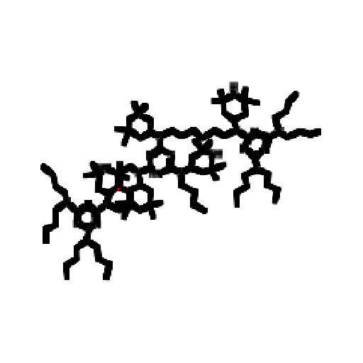 CCCCN(CCCC)c1nc(N(CCCC)CCCC)nc(N(CCCCCCN(C2=NC(N(CCCCCCN(c3nc(N(CCCC)CCCC)nc(N(CCCC)CCCC)n3)C3CC(C)(C)NC(C)(C)C3)C3CC(C)(C)CC(C)(C)C3)NC(N(CCCC)C3CC(C)(C)NC(C)(C)C3)=N2)C2CC(C)(C)CC(C)(C)C2)C2CC(C)(C)NC(C)(C)C2)n1